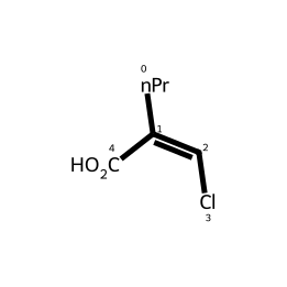 CCCC(=CCl)C(=O)O